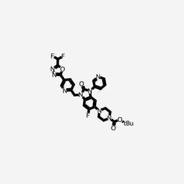 CC(C)(C)OC(=O)N1CCN(c2cc3c(cc2F)n(Cc2ccc(-c4nnc(C(F)F)o4)cn2)c(=O)n3-c2cccnc2)CC1